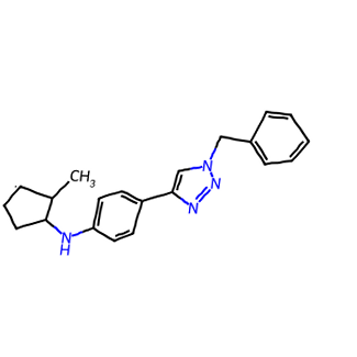 CC1[CH]CCC1Nc1ccc(-c2cn(Cc3ccccc3)nn2)cc1